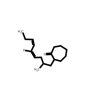 CC/C=C\C(F)=C/CC(C)CC1CCCCCC1=O